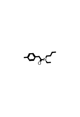 CCCCN(CC)C(=O)Cc1ccc(C)cc1